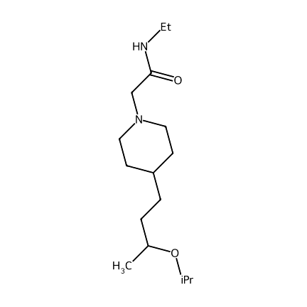 CCNC(=O)CN1CCC(CCC(C)OC(C)C)CC1